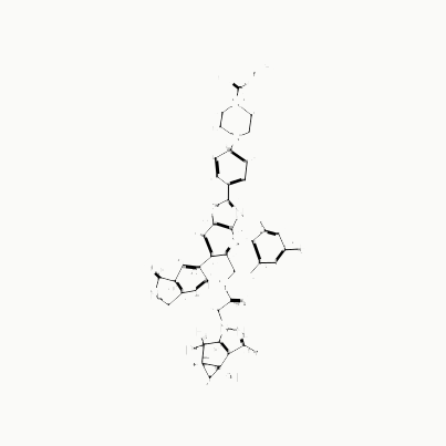 CC(C)(C)OC(=O)N1CCN(c2ccc(-c3nc4nc([C@H](Cc5cc(F)cc(F)c5)NC(=O)Cn5nc(C(F)(F)F)c6c5C(F)(F)[C@@H]5C[C@H]65)c(-c5ccc6c(c5)C(=O)NC6)cc4s3)cc2)CC1